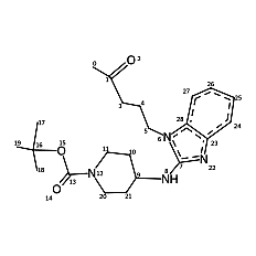 CC(=O)CCCn1c(NC2CCN(C(=O)OC(C)(C)C)CC2)nc2ccccc21